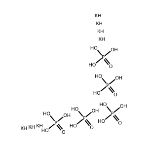 O=P(O)(O)O.O=P(O)(O)O.O=P(O)(O)O.O=P(O)(O)O.O=P(O)(O)O.[KH].[KH].[KH].[KH].[KH].[KH].[KH]